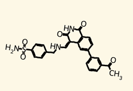 CC(=O)c1cccc(-c2ccc3c(c2)/C(=C/NCc2ccc(S(N)(=O)=O)cc2)C(=O)NC3=O)c1